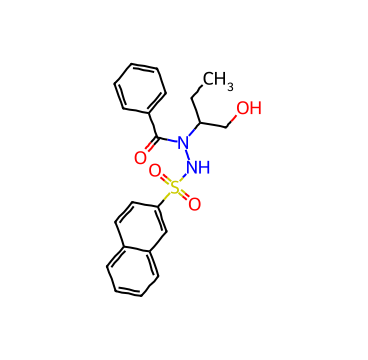 CCC(CO)N(NS(=O)(=O)c1ccc2ccccc2c1)C(=O)c1ccccc1